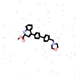 COC(=O)c1cc(-c2ccc(-c3ccc(CN4CCOCC4)cc3)cc2)c2ccccc2n1